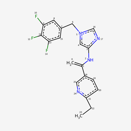 C=C(Nc1cn(Cc2cc(F)c(F)c(F)c2)cn1)c1ccc(CC)nc1